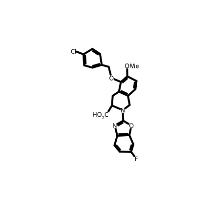 COc1ccc2c(c1OCc1ccc(Cl)cc1)CC(C(=O)O)N(c1nc3ccc(F)cc3o1)C2